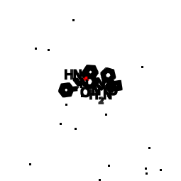 NC(=O)O[C@]1(C2CCC2)CCCC[C@@H]1n1cnc(C(=O)N2CCNC[C@H]2Cc2ccccc2)c1-c1ccccc1